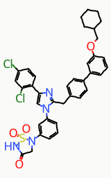 O=C1CN(c2cccc(-n3cc(-c4ccc(Cl)cc4Cl)nc3Cc3ccc(-c4cccc(OCC5CCCCC5)c4)cc3)c2)S(=O)(=O)N1